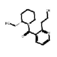 N#CCCc1ncccc1C(=O)N1CCCC[C@H]1CO